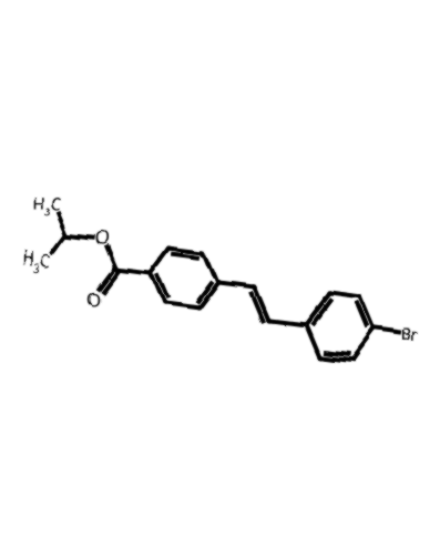 CC(C)OC(=O)c1ccc(C=Cc2ccc(Br)cc2)cc1